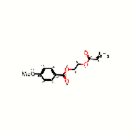 C=CC(=O)OCCOC(=O)c1ccc(OC)cc1